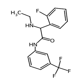 CCNC(C(=O)Nc1cccc(C(F)(F)F)c1)c1ccccc1F